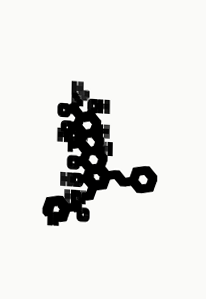 NC(=O)C1=C(O)C[C@@H]2C[C@@H]3Cc4c(CCC5CCCCC5)cc(CNC(=O)c5cccnc5)c(O)c4C(=O)C3=C(I)[C@]2(O)C1=O